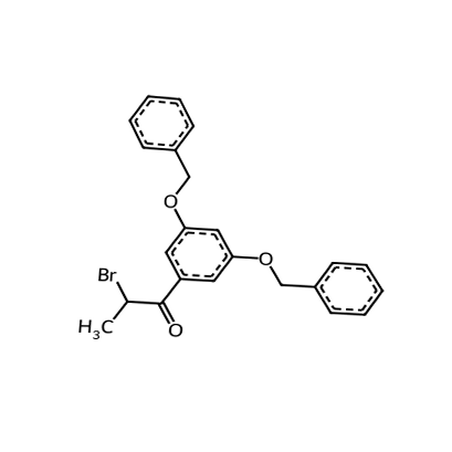 CC(Br)C(=O)c1cc(OCc2ccccc2)cc(OCc2ccccc2)c1